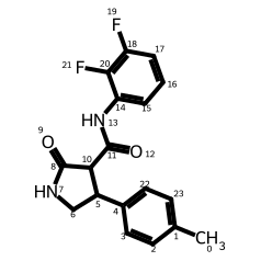 Cc1ccc(C2CNC(=O)C2C(=O)Nc2cccc(F)c2F)cc1